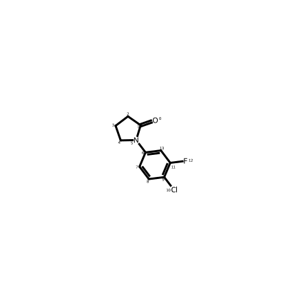 O=C1CCCN1c1ccc(Cl)c(F)c1